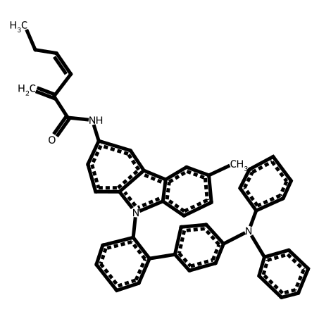 C=C(/C=C\CC)C(=O)Nc1ccc2c(c1)c1cc(C)ccc1n2-c1ccccc1-c1ccc(N(c2ccccc2)c2ccccc2)cc1